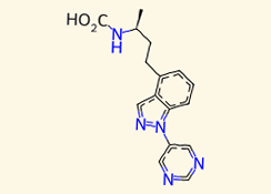 C[C@@H](CCc1cccc2c1cnn2-c1cncnc1)NC(=O)O